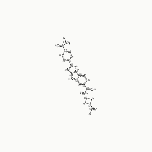 CNC(=O)c1ccc(-c2cn3c(n2)sc2cc(C(=O)N[C@H]4C[C@H](NC)C4)ccc23)cc1